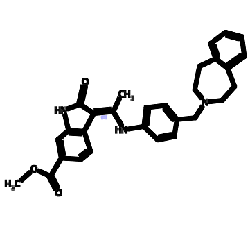 COC(=O)c1ccc2c(c1)NC(=O)/C2=C(\C)Nc1ccc(CN2CCc3ccccc3CC2)cc1